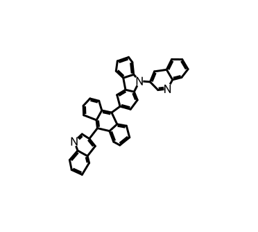 c1ccc2ncc(-c3c4ccccc4c(-c4ccc5c(c4)c4ccccc4n5-c4cnc5ccccc5c4)c4ccccc34)cc2c1